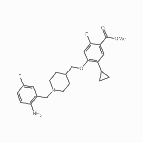 COC(=O)c1cc(C2CC2)c(OCC2CCN(Cc3cc(F)ccc3N)CC2)cc1F